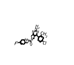 Cc1cc(Cl)ccc1-c1nc(N)nc2c1CN(C(=O)NCc1ccc(F)cc1)C2